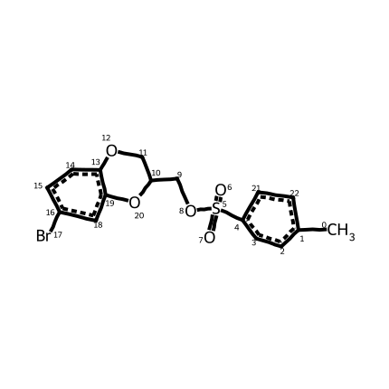 Cc1ccc(S(=O)(=O)OCC2COc3ccc(Br)cc3O2)cc1